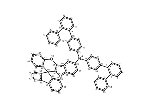 c1ccc(-c2ccccc2-c2ccc(N(c3ccc(-c4ccccc4-c4ccccc4)cc3)c3ccc4oc5c(c4c3)Oc3ccccc3C53c4ccccc4-c4ccccc43)cc2)cc1